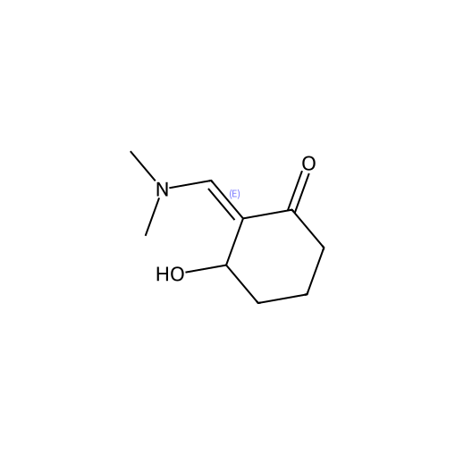 CN(C)/C=C1/C(=O)CCCC1O